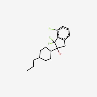 CCCC1CCC(C2(Br)Cc3cccc(F)c3C2(F)F)CC1